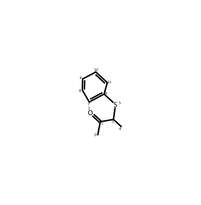 CC(=O)C(C)Sc1ccccc1